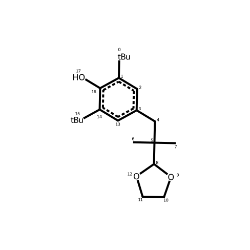 CC(C)(C)c1cc(CC(C)(C)C2OCCO2)cc(C(C)(C)C)c1O